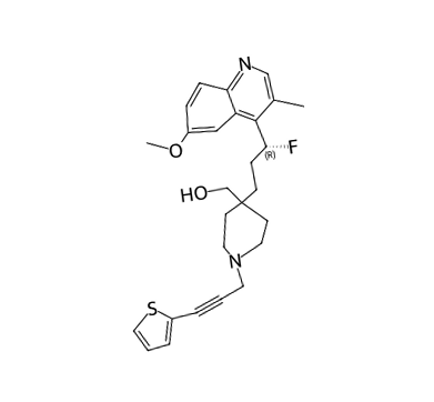 COc1ccc2ncc(C)c([C@H](F)CCC3(CO)CCN(CC#Cc4cccs4)CC3)c2c1